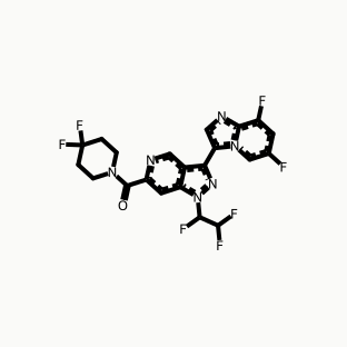 O=C(c1cc2c(cn1)c(-c1cnc3c(F)cc(F)cn13)nn2C(F)C(F)F)N1CCC(F)(F)CC1